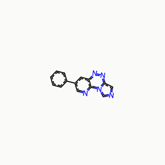 c1ccc(-c2cnc3c(c2)nnc2cncn23)cc1